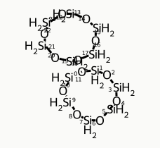 O1[SiH2]O[SiH2]O[SiH2]O[SiH2]O[SiH2]O[SiH2]1.O1[SiH2]O[SiH2]O[SiH2]O[SiH2]O[SiH2]O[SiH2]1